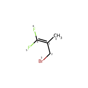 CC(CBr)=C(F)F